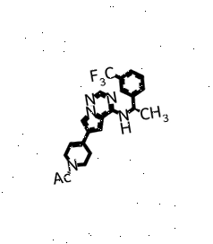 CC(=O)N1CC=C(c2cc3c(N[C@H](C)c4cccc(C(F)(F)F)c4)ncnn3c2)CC1